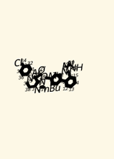 CCCCc1nc2c(n1Cc1ccc(-c3ccccc3-c3nnn[nH]3)cc1)C(C(C)=O)(C(=O)OC)N(c1ccc(Cl)cc1)CC2